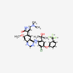 COc1cc2ncnc(Nc3cc(Cl)c(Oc4cccc(C(F)(F)F)c4)cc3C(C)(C)O)c2cc1C(=CCN(C)C)C(N)=O